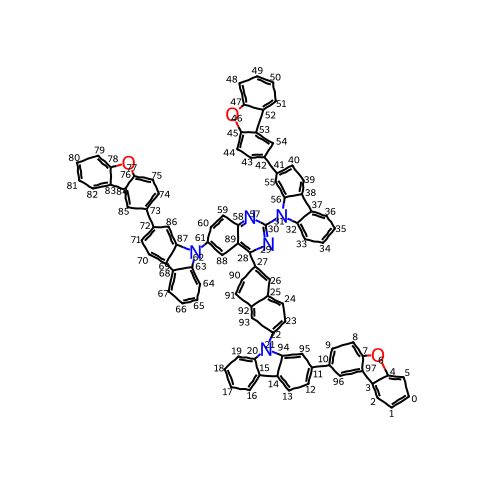 c1ccc2c(c1)oc1ccc(-c3ccc4c5ccccc5n(-c5ccc6cc(-c7nc(-n8c9ccccc9c9ccc(-c%10ccc%11oc%12ccccc%12c%11c%10)cc98)nc8ccc(-n9c%10ccccc%10c%10ccc(-c%11ccc%12oc%13ccccc%13c%12c%11)cc%109)cc78)ccc6c5)c4c3)cc12